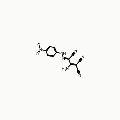 N#CC(=NNc1ccc([N+](=O)[O-])cc1)C(N)=C(C#N)C#N